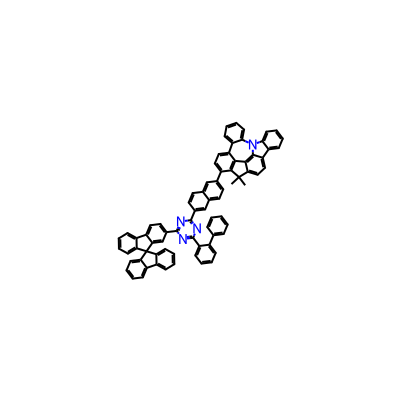 CC1(C)c2ccc3c4ccccc4n4c3c2-c2c(ccc(-c3ccc5cc(-c6nc(-c7ccc8c(c7)C7(c9ccccc9-c9ccccc97)c7ccccc7-8)nc(-c7ccccc7-c7ccccc7)n6)ccc5c3)c21)-c1ccccc1-4